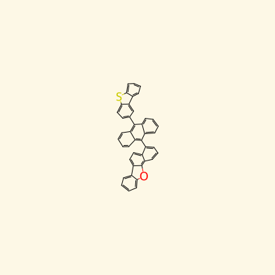 c1ccc2c(c1)oc1c3cccc(-c4c5ccccc5c(-c5ccc6sc7ccccc7c6c5)c5ccccc45)c3ccc21